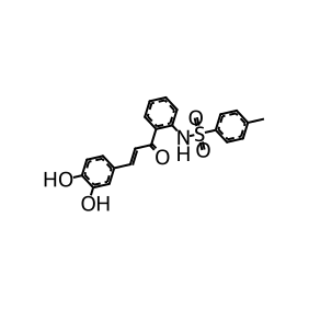 Cc1ccc(S(=O)(=O)Nc2ccccc2C(=O)C=Cc2ccc(O)c(O)c2)cc1